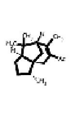 CC(=O)C1=C(C)[C@@H]2C[C@]3(C1)[C@H](C)CC[C@H]3C2(C)C